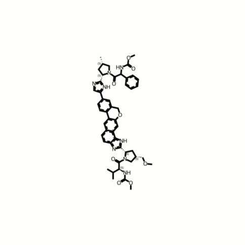 COC[C@H]1C[C@@H](c2nc3ccc4cc5c(cc4c3[nH]2)OCc2cc(-c3cnc([C@@H]4C[C@H](C)CN4C(=O)C(NC(=O)OC)c4ccccc4)[nH]3)ccc2-5)N(C(=O)[C@@H](NC(=O)OC)C(C)C)C1